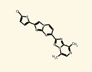 Cc1ncc(C)n2nc(-c3ccn4cc(-c5ccc(Cl)s5)nc4n3)nc12